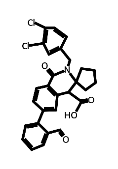 O=Cc1ccccc1-c1ccc2c(c1)C(C(=O)O)C1(CCCC1)N(Cc1ccc(Cl)c(Cl)c1)C2=O